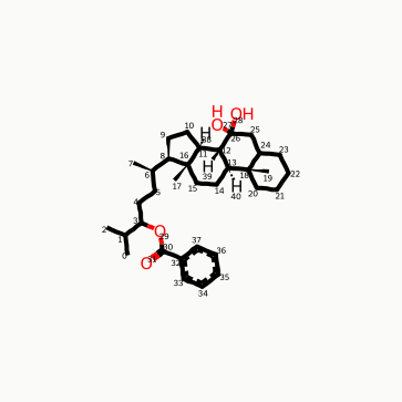 CC(C)C(CC[C@@H](C)[C@H]1CC[C@H]2[C@H]3[C@H](CC[C@]12C)[C@@]1(C)CCCCC1CC3(O)O)OC(=O)c1ccccc1